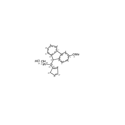 COc1ccc2c(c1)-c1ccccc1[CH]2[Zr]([C]1=CC=CC1)[CH](C)C.Cl.Cl